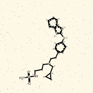 CS(=O)(=O)NCCCN(CCc1ccc(Oc2nc3ccccc3s2)cc1)CC1CC1